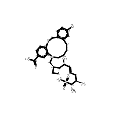 C[C@H](C/C=C/[C@H](O)[C@@H]1CC[C@H]1CN1CCCCc2cc(Cl)ccc2COc2ccc(C(=O)O)cc21)[C@H](C)S(N)(=O)=O